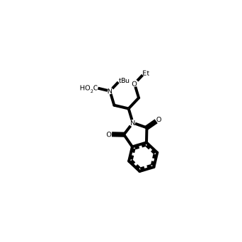 CCOCC(CN(C(=O)O)C(C)(C)C)N1C(=O)c2ccccc2C1=O